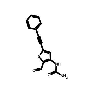 NC(=O)Nc1cc(C#Cc2ccccc2)sc1C=O